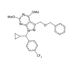 COc1nc(OC)c2c(COCc3ccccc3)nn(C(c3ccc(C(F)(F)F)cc3)C3CC3)c2n1